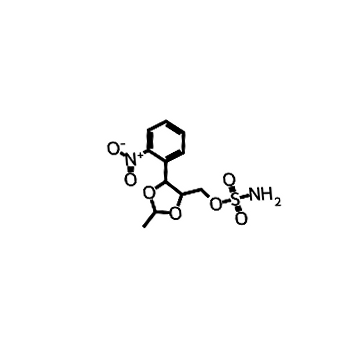 CC1OC(COS(N)(=O)=O)C(c2ccccc2[N+](=O)[O-])O1